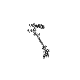 COc1cc(-c2cn(C)c(=O)c3cc(C(=N)NC4CCS(=O)(=O)CC4)sc23)ccc1OCC(=O)NCCCOCCOCCOCCCNC(=O)COc1cccc2c1C(=O)N(C1CCC(=O)NC1=O)C2=O